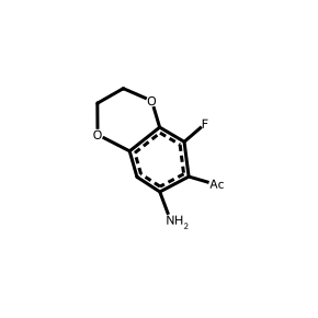 CC(=O)c1c(N)cc2c(c1F)OCCO2